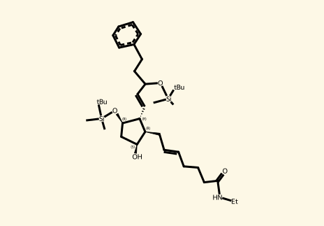 CCNC(=O)CCCC=CC[C@@H]1[C@@H](C=CC(CCc2ccccc2)O[Si](C)(C)C(C)(C)C)[C@H](O[Si](C)(C)C(C)(C)C)C[C@@H]1O